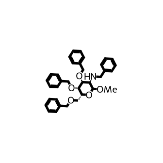 COC1O[C@H](COCc2ccccc2)[C@H](OCc2ccccc2)[C@H](OCc2ccccc2)[C@@H]1NCc1ccccc1